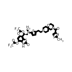 Cc1nc(C(=O)N2CCOC3(CCN(CCc4ccc(N(C)C[C@H](OC(=O)C(F)(F)F)c5ccc(OC(=O)C(F)(F)F)c6[nH]c(=O)sc56)s4)CC3)C2)cs1